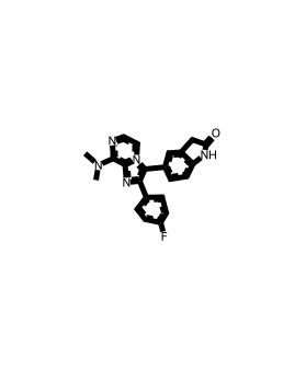 CN(C)c1nccn2c(-c3ccc4c(c3)CC(=O)N4)c(-c3ccc(F)cc3)nc12